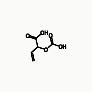 C=CC(OC(=O)O)C(=O)O